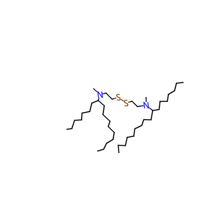 CCCCCCCCCC(CCCCCCC)N(C)CCSSCCN(C)C(CCCCCCC)CCCCCCCCC